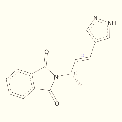 C[C@@H](/C=C/c1cn[nH]c1)N1C(=O)c2ccccc2C1=O